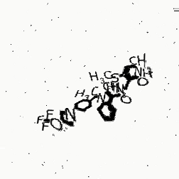 CSc1cc(C)[nH]c(=O)c1CNC(=O)c1c(C)n(C(C)C2CCC(N3CC(OC(F)(F)F)C3)CC2)c2ccccc12